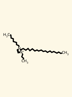 CCCCCCCCCCCCCCCCCCCc1n(CCCCCCCC)cc[n+]1CCCC